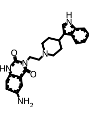 Nc1ccc2[nH]c(=O)n(CCN3CCC(c4c[nH]c5ccccc45)CC3)c(=O)c2c1